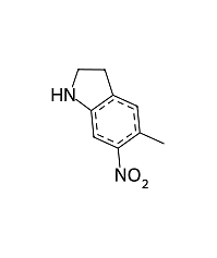 Cc1cc2c(cc1[N+](=O)[O-])NCC2